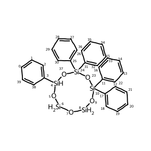 c1ccc([SiH]2O[SiH2]O[SiH2]O[Si](c3ccccc3)(c3ccccc3)O[Si](c3ccccc3)(c3ccccc3)O2)cc1